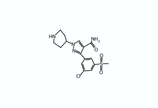 CS(=O)(=O)c1cc(Cl)cc(-c2nn(C3CCNCC3)cc2C(N)=O)c1